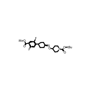 COC(=O)c1cc(F)c(C2CCC(=NOC3CCN(C(=O)OC(C)(C)C)CC3)CC2)cc1F